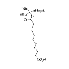 CCCCCCCC(CCCC)(CCCC)OC(=O)CCCCCCCCC(=O)O